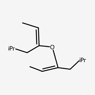 CC=C(CC(C)C)OC(=CC)CC(C)C